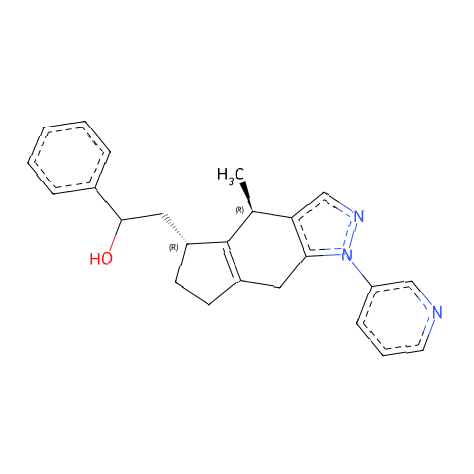 C[C@@H]1C2=C(CC[C@@H]2CC(O)c2ccccc2)Cc2c1cnn2-c1cccnc1